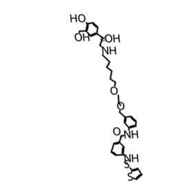 O=C(Nc1cccc(COCCOCCCCCCNC[C@@H](O)c2ccc(O)c(CO)c2)c1)c1cccc(NSc2cccs2)c1